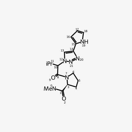 CNC(=O)[C@@H]1CCCN1C(=O)C(C(C)C)n1cc(-c2ccc[nH]2)nn1